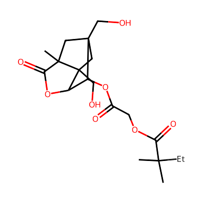 CCC(C)(C)C(=O)OCC(=O)OC1C2OC(=O)C3(C)CC1(CO)CC23CO